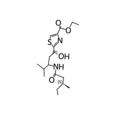 CCOC(=O)c1csc([C@H](O)CC(NC(=O)C[C@@H](C)CC)C(C)C)n1